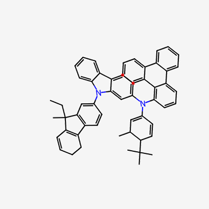 CCC1(C)C2=C(CCC=C2)c2ccc(-n3c4ccccc4c4ccc(N(C5=CC(C)C(C(C)(C)C)C=C5)c5cccc6c7ccccc7c7ccccc7c56)cc43)cc21